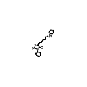 O=C1\C(=C/C=C/C=C/Nc2ccccc2)SC(=S)N1c1ccccc1